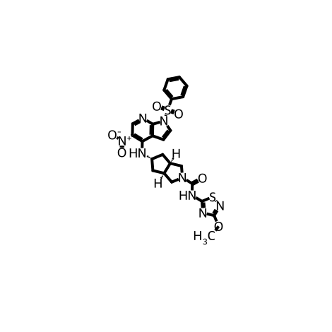 COc1nsc(NC(=O)N2C[C@H]3C[C@H](Nc4c([N+](=O)[O-])cnc5c4ccn5S(=O)(=O)c4ccccc4)C[C@H]3C2)n1